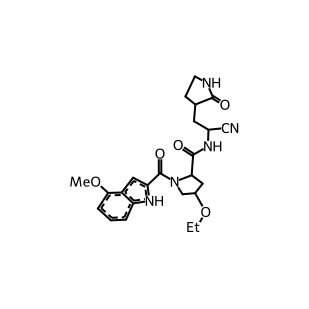 CCOC1CC(C(=O)NC(C#N)CC2CCNC2=O)N(C(=O)c2cc3c(OC)cccc3[nH]2)C1